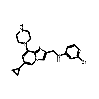 Brc1cc(NCc2cn3cc(C4CC4)cc(N4CCNCC4)c3n2)ccn1